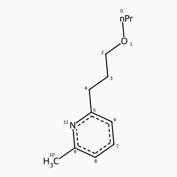 CCCOCCCc1cccc(C)n1